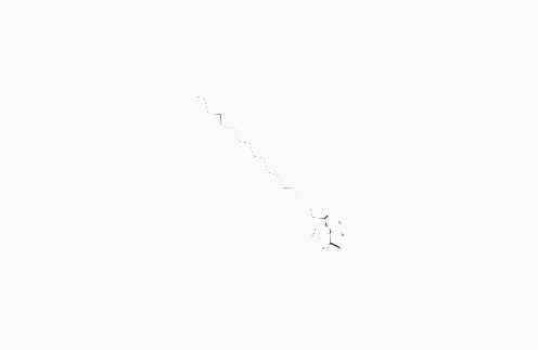 CCCCCCCCCCCCCCCCCC(=O)C(C(=O)[O-])([N+](C)(C)C)S(=O)(=O)O